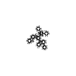 c1ccc(-c2nc(-c3ccccc3)nc(-c3cc(-n4c5ccccc5c5c(-c6ccccc6)cccc54)cc4c3sc3ccc5c6ccccc6sc5c34)n2)cc1